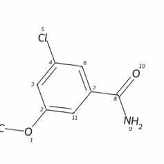 COc1cc(Cl)cc(C(N)=O)c1